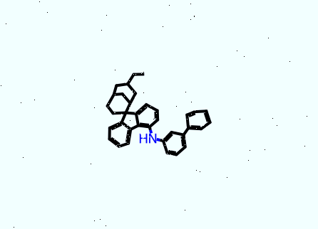 CCC1CC2CCC3(c4ccccc4-c4c(Nc5cccc(-c6ccccc6)c5)cccc43)C(C1)C2